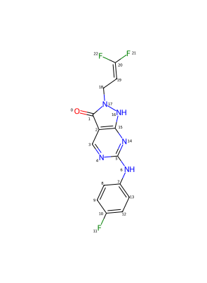 O=c1c2cnc(Nc3ccc(F)cc3)nc2[nH]n1CC=C(F)F